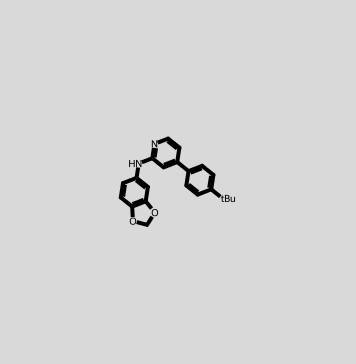 CC(C)(C)c1ccc(-c2ccnc(Nc3ccc4c(c3)OCO4)c2)cc1